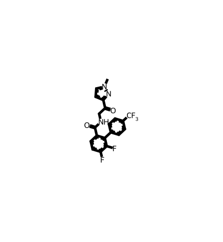 Cn1ccc(C(=O)CNC(=O)c2ccc(F)c(F)c2-c2ccc(C(F)(F)F)cc2)n1